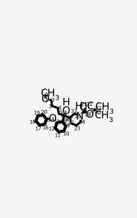 COCCCC[C@@](O)(c1ccccc1Oc1ccccc1)[C@@H]1CCCN(C(=O)OC(C)(C)C)C1